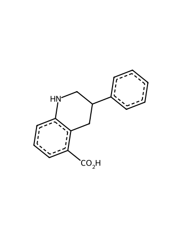 O=C(O)c1cccc2c1CC(c1ccccc1)CN2